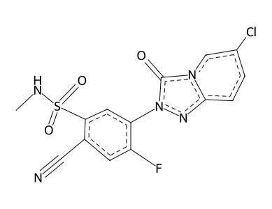 CNS(=O)(=O)c1cc(-n2nc3ccc(Cl)cn3c2=O)c(F)cc1C#N